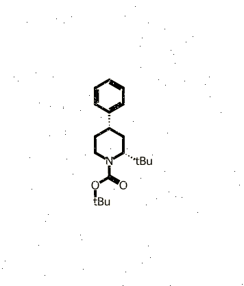 CC(C)(C)OC(=O)N1CC[C@H](c2ccccc2)C[C@@H]1C(C)(C)C